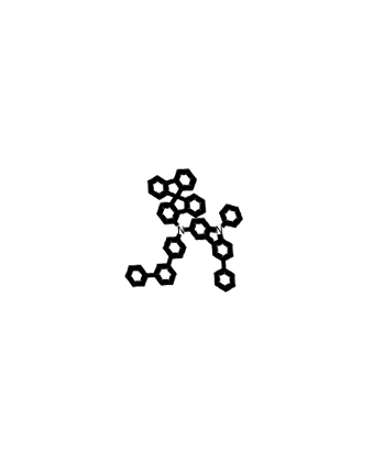 c1ccc(-c2cccc(-c3ccc(N(c4ccc5c(c4)c4cc(-c6ccccc6)ccc4n5-c4ccccc4)c4cccc5c4-c4ccccc4C54c5ccccc5-c5ccccc54)cc3)c2)cc1